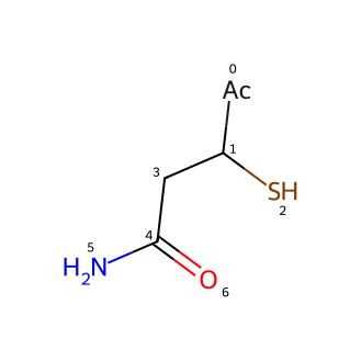 CC(=O)C(S)CC(N)=O